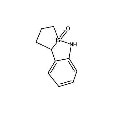 O=[SH]12CCCC1c1ccccc1N2